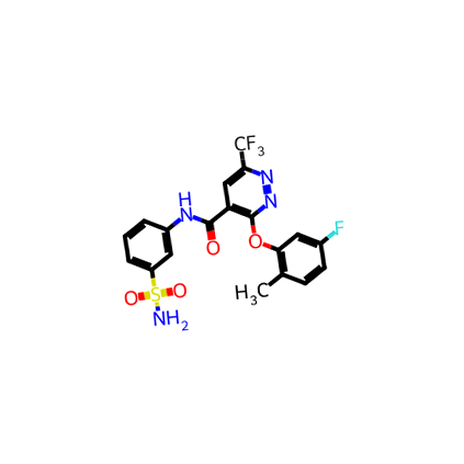 Cc1ccc(F)cc1Oc1nnc(C(F)(F)F)cc1C(=O)Nc1cccc(S(N)(=O)=O)c1